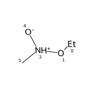 CCO[NH+](C)[O-]